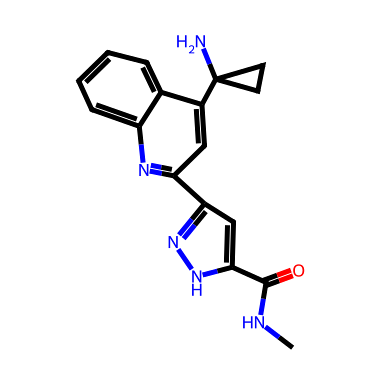 CNC(=O)c1cc(-c2cc(C3(N)CC3)c3ccccc3n2)n[nH]1